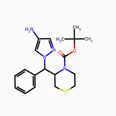 CC(C)(C)OC(=O)N1CCSCC1C(c1ccccc1)n1cc(N)cn1